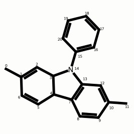 CC1=CC2C(C=C1)c1ccc(C)cc1N2c1ccccc1